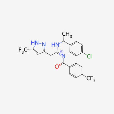 CC(N/C(Cc1cc(C(F)(F)F)[nH]n1)=N/C(=O)c1ccc(C(F)(F)F)cc1)c1ccc(Cl)cc1